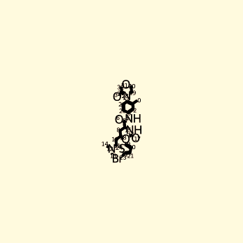 Cc1cc(NC(=O)C(CCCCN(C)C)NC(=O)Oc2ccc(Br)s2)ccc1N1CCOCC1=O